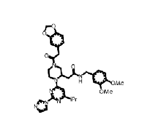 COc1ccc(CNC(=O)CC2CN(C(=O)Cc3ccc4c(c3)OCO4)CCN2c2cc(C(C)C)nc(-n3ccnc3)n2)cc1OC